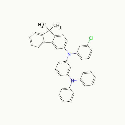 CC1(C)c2ccccc2-c2cc(N(c3cccc(Cl)c3)c3cccc(N(c4ccccc4)c4ccccc4)c3)ccc21